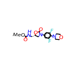 COC(=O)NC[C@H]1CN(c2cc(F)c(N3CCOCC3)c(F)c2)C(=O)O1